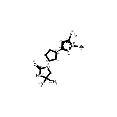 CC1(C)CN([C@@H]2CC[C@@H](c3cc(N)n(C(C)(C)C)n3)C2)C(=O)N1